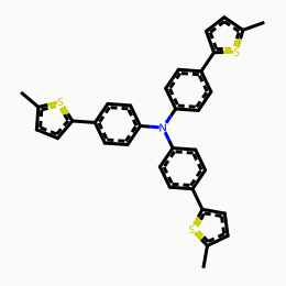 Cc1ccc(-c2ccc(N(c3ccc(-c4ccc(C)s4)cc3)c3ccc(-c4ccc(C)s4)cc3)cc2)s1